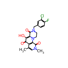 Cc1cn(C)c(=O)c2c1c(=O)c(O)c1n2CCN(Cc2ccc(F)c(Cl)c2)C1=O